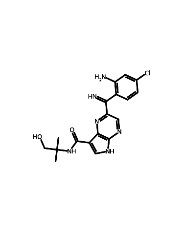 CC(C)(CO)NC(=O)c1c[nH]c2ncc(C(=N)c3ccc(Cl)cc3N)nc12